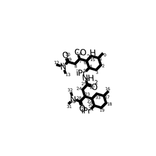 CC1CCC(C(C)C)C(C(CC(=O)N(C)C)C(=O)O)C1.CC1CCC(C(C)C)C(C(CC(N)=O)C(=O)N(C)C)C1